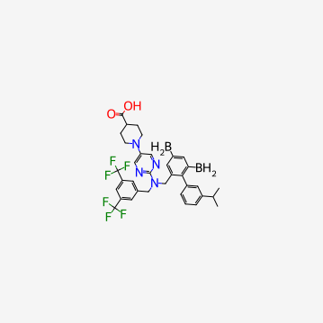 Bc1cc(B)c(-c2cccc(C(C)C)c2)c(CN(Cc2cc(C(F)(F)F)cc(C(F)(F)F)c2)c2ncc(N3CCC(C(=O)O)CC3)cn2)c1